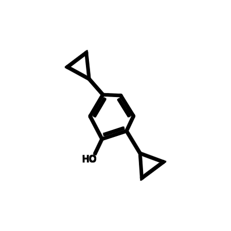 Oc1cc(C2CC2)ccc1C1CC1